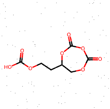 O=C(O)OCCC1COC(=O)OC(=O)O1